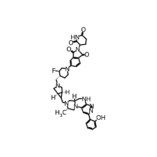 C[C@H]1CN2c3cc(-c4ccccc4O)nnc3NC[C@H]2CN1CC1[C@H]2CN(C[C@H]3CCN(c4ccc5c(c4)C(=O)N(C4CCC(=O)NC4=O)C5=O)C[C@@H]3F)C[C@@H]12